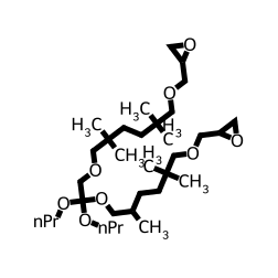 CCCOC(COCC(C)(C)CCC(C)(C)COCC1CO1)(OCCC)OCC(C)CCC(C)(C)COCC1CO1